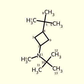 CN(C1CC(C(C)(C)C)C1)C(C)(C)C